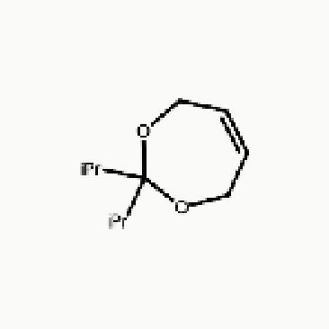 CC(C)C1(C(C)C)OCC=CCO1